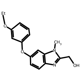 CCOc1cccc(Oc2ccc3nc(CO)n(C)c3c2)c1